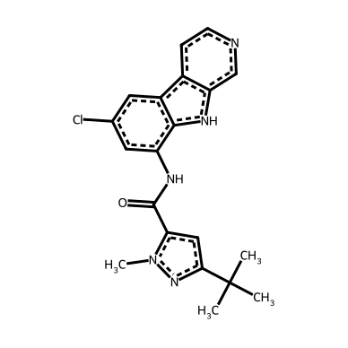 Cn1nc(C(C)(C)C)cc1C(=O)Nc1cc(Cl)cc2c1[nH]c1cnccc12